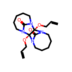 C=CCO[C@]12N3CCCCCN(C3=O)[C@@]1(OCC=C)N1CCCCCN2C1=O